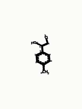 Cc1ccc(C(O)CCl)cc1